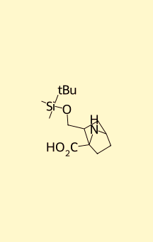 CC(C)(C)[Si](C)(C)OCC1CC2CCC1(C(=O)O)N2